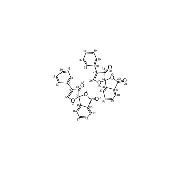 O=C1OC2(OC=C(c3ccccc3)C2=O)c2ccccc21.O=C1OC2(OC=C(c3ccccc3)C2=O)c2ccccc21